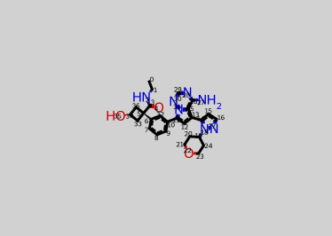 CCNC(=O)[C@]1(c2cccc(-c3cc(-c4ccnn4C4CCOCC4)c4c(N)ncnn34)c2)C[C@H](O)C1